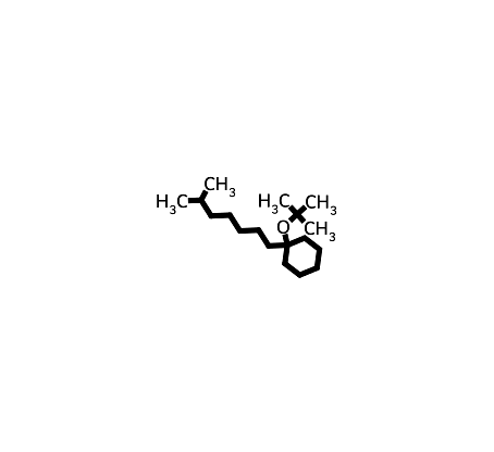 CC(C)CCCCCC1(OC(C)(C)C)CCCCC1